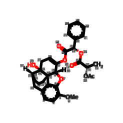 COc1ccc2c3c1O[C@H]1C(OC(=O)[C@@H](OC(=O)[C@H](C)OC(C)=O)c4ccccc4)=CC[C@@]4(O)[C@H](CCC[C@]314)C2